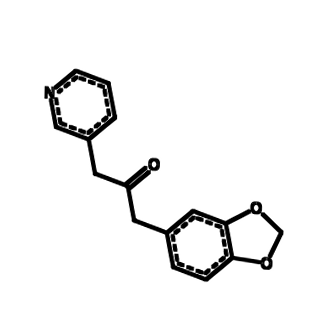 O=C(Cc1cccnc1)Cc1ccc2c(c1)OCO2